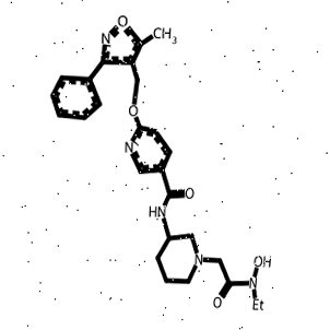 CCN(O)C(=O)CN1CCCC(NC(=O)c2ccc(OCc3c(-c4ccccc4)noc3C)nc2)C1